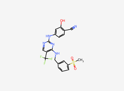 CS(=O)(=O)c1cccc(CNc2nc(Nc3ccc(C#N)c(O)c3)ncc2C(F)(F)F)c1